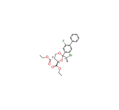 CCOC(=O)[C@@H]1COC(c2ccc(-c3ccccc3)c(F)c2)([C@H](C)Br)O[C@H]1C(=O)OCC